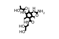 CC(O)C(=O)Nc1c(I)c(NC(N)=O)c(I)c(C(=O)NCC(O)CO)c1I